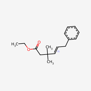 CCOC(=O)CC(C)(C)/C=C/Cc1ccccc1